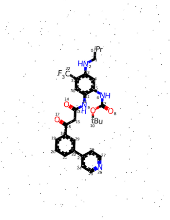 CC(C)CNc1cc(NC(=O)OC(C)(C)C)c(NC(=O)CC(=O)c2cccc(-c3ccncc3)c2)cc1C(F)(F)F